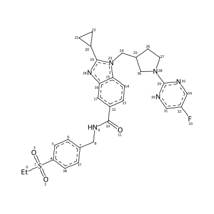 CCS(=O)(=O)c1ccc(CNC(=O)c2ccc3c(c2)nc(C2CC2)n3CC2CCN(c3ncc(F)cn3)C2)cc1